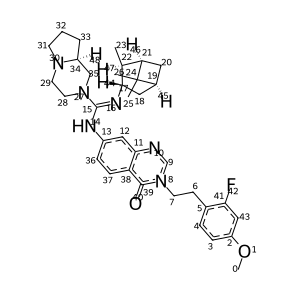 COc1ccc(CCn2cnc3cc(NC(=N[C@H]4C[C@@H]5C[C@H]([C@@H]4C)C5(C)C)N4CCN5CCC[C@H]5C4)ccc3c2=O)c(F)c1